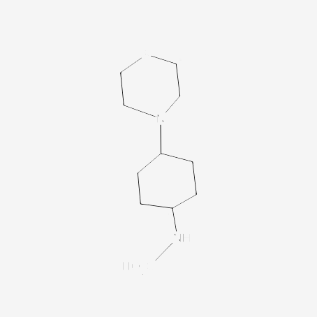 O=C(O)NC1CCC(N2CCSCC2)CC1